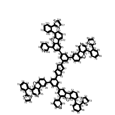 C1=C(c2cc(-c3ccc4oc5c(-c6ccccc6-c6nccs6)cncc5c4c3)cc(-c3cc(-c4cccnc4)c4oc5c(-c6ccccc6-c6nccs6)cccc5c4c3)c2)CC2=C1CC(c1cc(-c3ccc4oc5c(-c6ccccc6-c6nccs6)cncc5c4c3)cc(-c3cc(-c4cccnc4)c4oc5c(-c6ccccc6-c6nccs6)cccc5c4c3)c1)=C2